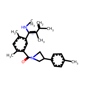 C=C(C)/C(C)=C(\NC)c1cc(C(=O)N2CC(c3ccc(C)cc3)C2)c(C)cc1C